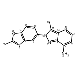 Cc1nc2cc(-n3nc4c(N)ccnc4c3C)ccc2o1